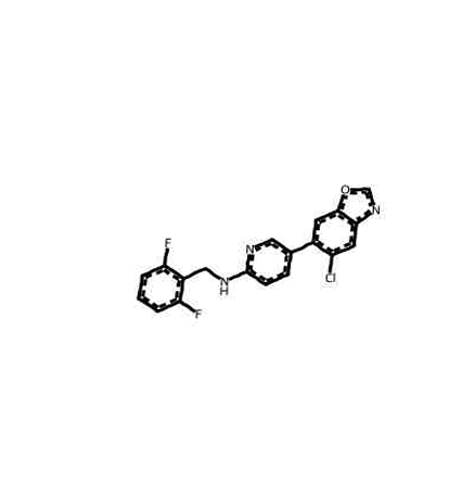 Fc1cccc(F)c1CNc1ccc(-c2cc3ocnc3cc2Cl)cn1